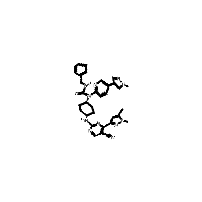 Cc1cc(-c2nc(N[C@H]3CC[C@H](N(C(=O)NCc4ccccc4)c4ccc(-c5cnn(C)c5)cn4)CC3)ncc2C#N)nn1C